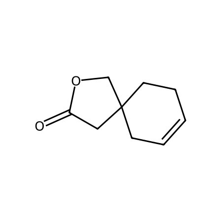 O=C1CC2(CC=CCC2)CO1